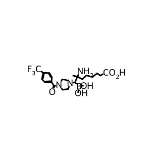 CC(N)(CCCCCC(=O)O)C(B(O)O)N1CCN(C(=O)c2ccc(C(F)(F)F)cc2)CC1